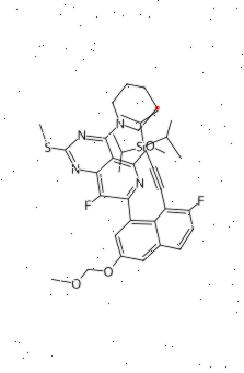 COCOc1cc(-c2nc(OC)c3c(N4CCCCC4)nc(SC)nc3c2F)c2c(C#C[Si](C(C)C)(C(C)C)C(C)C)c(F)ccc2c1